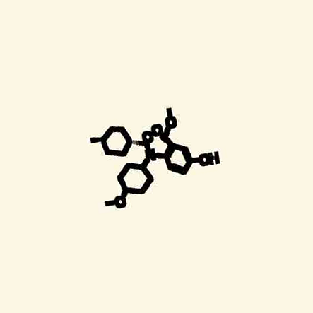 COC(=O)c1cc(O)ccc1N(C(=O)[C@H]1CC[C@H](C)CC1)C1CCC(OC)CC1